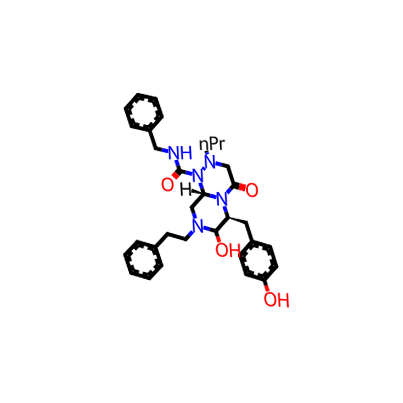 CCCN1CC(=O)N2[C@@H](Cc3ccc(O)cc3)C(O)N(CCc3ccccc3)C[C@@H]2N1C(=O)NCc1ccccc1